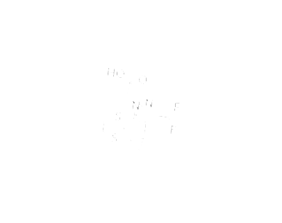 O=C(O)Cn1nc(C(F)F)c2c1C1(SCCS1)C1CC21